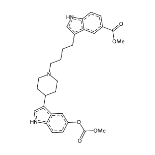 COC(=O)Oc1ccc2[nH]cc(C3CCN(CCCCc4c[nH]c5ccc(C(=O)OC)cc45)CC3)c2c1